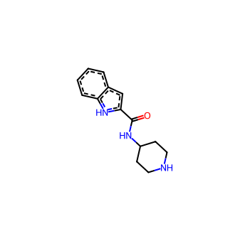 O=C(NC1CCNCC1)c1cc2ccccc2[nH]1